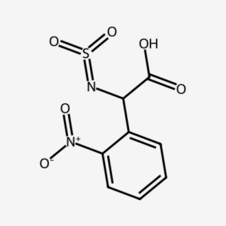 O=C(O)C(N=S(=O)=O)c1ccccc1[N+](=O)[O-]